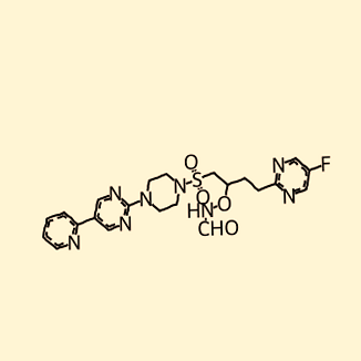 O=CNOC(CCc1ncc(F)cn1)CS(=O)(=O)N1CCN(c2ncc(-c3ccccn3)cn2)CC1